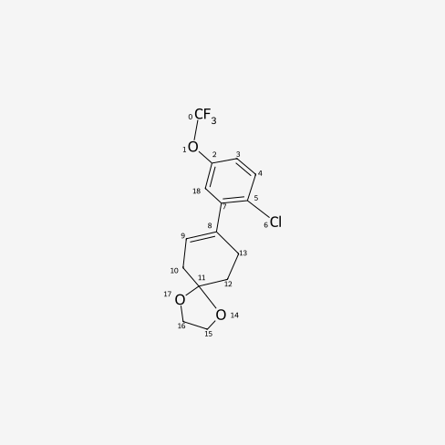 FC(F)(F)Oc1ccc(Cl)c(C2=CCC3(CC2)OCCO3)c1